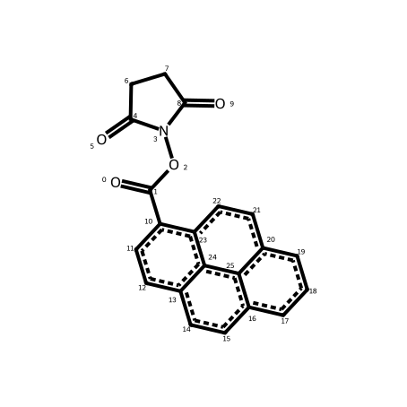 O=C(ON1C(=O)CCC1=O)c1ccc2ccc3cccc4ccc1c2c34